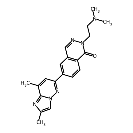 Cc1cn2nc(-c3ccc4c(=O)n(CCN(C)C)ncc4c3)cc(C)c2n1